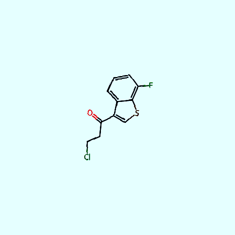 O=C(CCCl)c1csc2c(F)cccc12